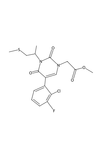 COC(=O)Cn1cc(-c2cccc(F)c2Cl)c(=O)n(C(C)CSC)c1=O